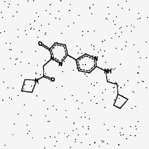 O=C(Cn1nc(-c2ccc(NCCC3CCC3)nc2)ccc1=O)N1CCC1